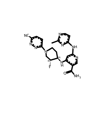 Cc1nccc(Nc2cc(N[C@@H]3CCN(c4ccc(C#N)nn4)C[C@H]3F)c(C(N)=O)cn2)n1